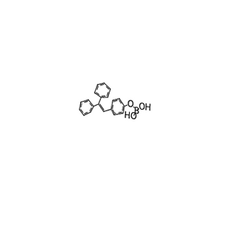 OB(O)Oc1ccc(C=C(c2ccccc2)c2ccccc2)cc1